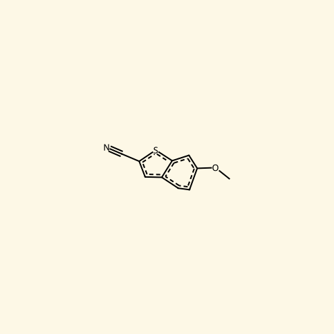 COc1ccc2cc(C#N)sc2c1